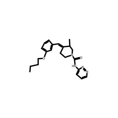 CCCCOc1cccc(C=C2CCN(C(=O)Nc3cccnn3)CC2C)c1